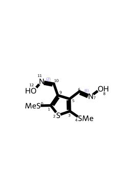 CSc1sc(SC)c(/C=N/O)c1/C=N\O